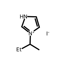 CCC(C)[n+]1cc[nH]c1.[I-]